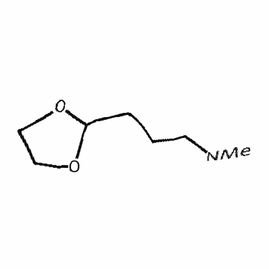 CNCCCC1OCCO1